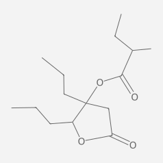 CCCC1OC(=O)CC1(CCC)OC(=O)C(C)CC